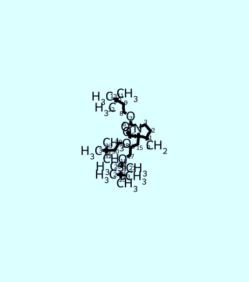 C=C1CCN(C(=O)OCCC(C)(C)C)C1(CCCO[Si](C)(C)C(C)(C)C)C(=O)OCCC(C)(C)C